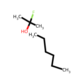 CC(C)(O)F.CCCCCC